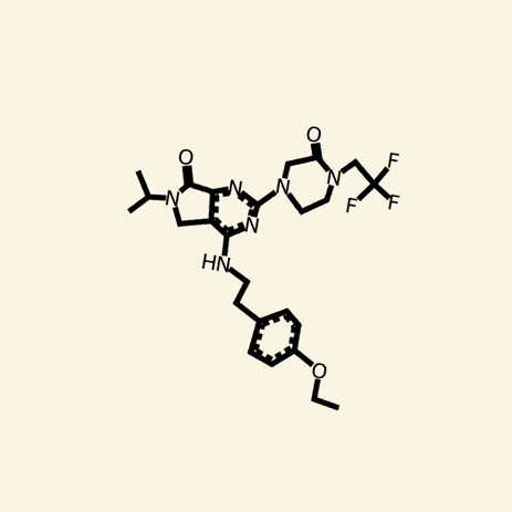 CCOc1ccc(CCNc2nc(N3CCN(CC(F)(F)F)C(=O)C3)nc3c2CN(C(C)C)C3=O)cc1